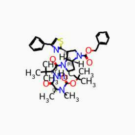 C[C@@H](C(=O)N[C@H](C(=O)N1CC[C@@H]2[C@H]1[C@@H](c1nc(-c3ccccc3)cs1)CN2C(=O)OCc1ccccc1)C(C)(C)C)N(C)C(=O)OC(C)(C)C